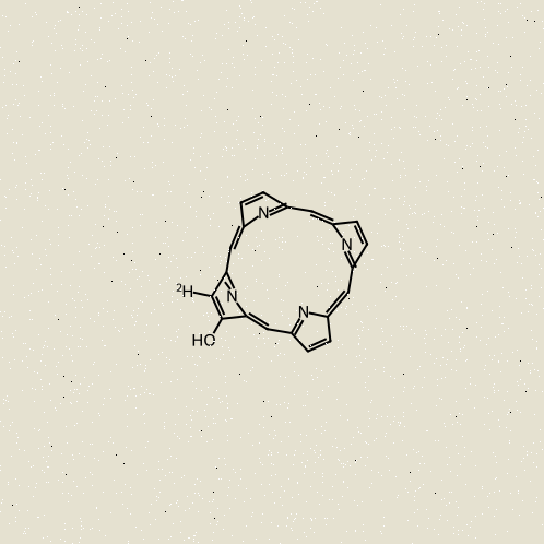 [2H]C1=C(O)C2=CC3=NC(=CC4=NC(=CC5=NC(=CC1=N2)C=C5)C=C4)C=C3